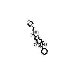 CN1C(=O)c2cc(C(=O)NCCN3CCOCC3)nn2CC1(C)C(=O)NC1CCCCCC1